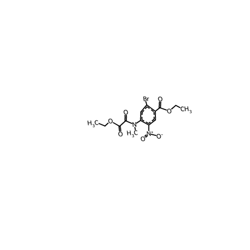 CCOC(=O)C(=O)N(C)c1cc(Br)c(C(=O)OCC)cc1[N+](=O)[O-]